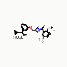 CC(c1cc(C(F)(F)F)ccc1C(F)(F)F)N1CC(COc2cccc([C@H](C3CC3)[C@H](C)C(=O)O)c2)C1